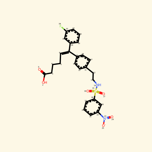 O=C(O)CCC/C=C(\c1ccc(CCNS(=O)(=O)c2cccc([N+](=O)[O-])c2)cc1)c1cccc(F)c1